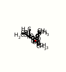 C=C(C)C(=O)OCCN(Cc1ccc(-c2c3ccc(=[N+](CC)CC)cc-3oc3cc(N(CC)CC)ccc23)c(S(=O)(=O)O)c1)C(=O)CCCCC